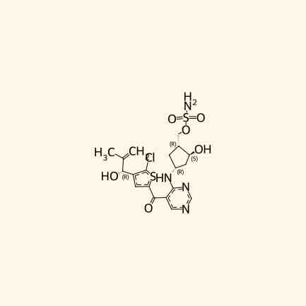 C=C(C)[C@@H](O)c1cc(C(=O)c2cncnc2N[C@@H]2C[C@H](COS(N)(=O)=O)[C@@H](O)C2)sc1Cl